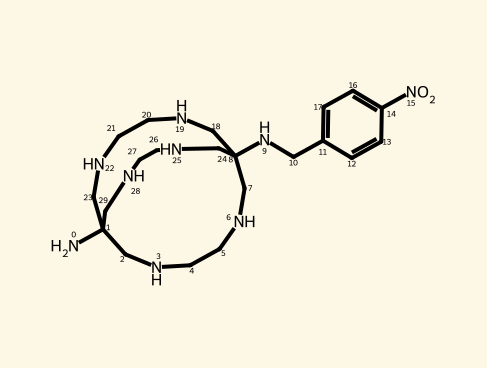 NC12CNCCNCC(NCc3ccc([N+](=O)[O-])cc3)(CNCCNC1)CNCCNC2